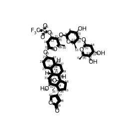 C[C@H]1O[C@@H](O[C@H]2[C@@H](O)C[C@H](O[C@H]3[C@@H](OS(=O)(=O)C(F)(F)F)C[C@H](O[C@H]4CC[C@@]5(C)[C@H](CC[C@@H]6[C@@H]5C[C@@H](O)[C@]5(C)[C@@H](C7=CC(=O)OC7)CC[C@]65O)C4)O[C@@H]3C)O[C@@H]2C)C[C@H](O)[C@@H]1O